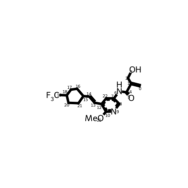 C=C(CO)C(=O)Nc1cnc(OC)c(/C=C/C2CCC(C(F)(F)F)CC2)c1